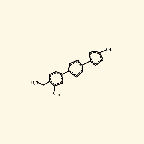 Cc1ccc(-c2ccc(-c3ccc(CN)c(C)c3)cc2)cc1